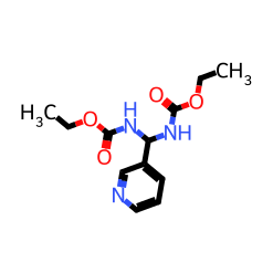 CCOC(=O)NC(NC(=O)OCC)c1cccnc1